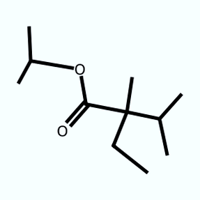 CCC(C)(C(=O)OC(C)C)C(C)C